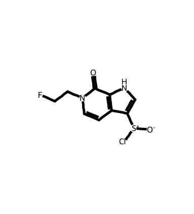 O=c1c2[nH]cc([S+]([O-])Cl)c2ccn1CCF